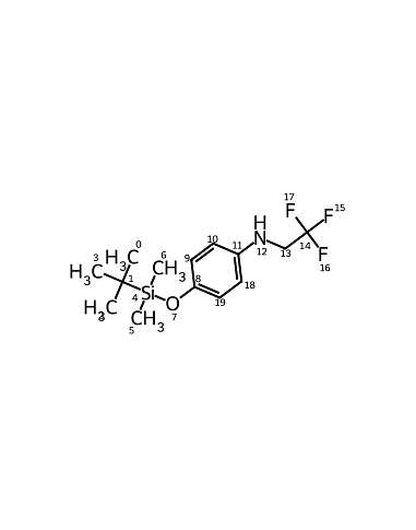 CC(C)(C)[Si](C)(C)Oc1ccc(NCC(F)(F)F)cc1